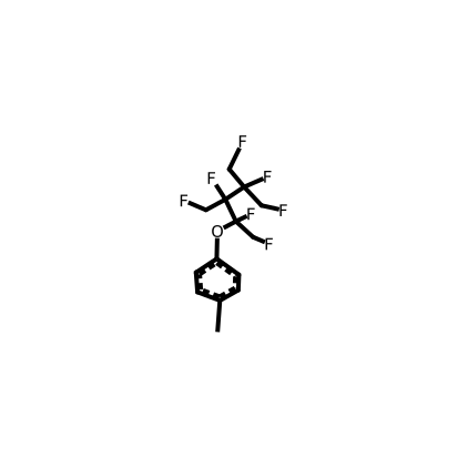 Cc1ccc(OC(F)(CF)C(F)(CF)C(F)(CF)CF)cc1